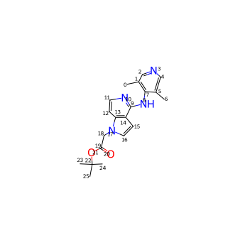 Cc1cncc(C)c1Nc1nccc2c1ccn2CC(=O)OC(C)(C)C